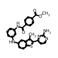 COC(=O)c1ccc(C(=O)Nc2cccc(Nc3ccc4sc(-c5ccnc(N)n5)c(C)c4c3)c2)cc1